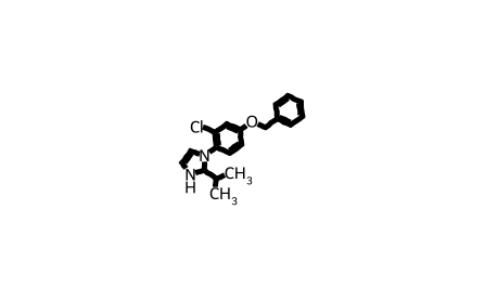 CC(C)C1NC=CN1c1ccc(OCc2ccccc2)cc1Cl